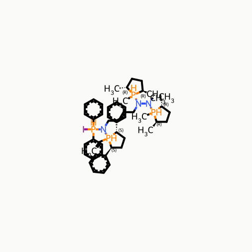 C=C[PH]1(N(CCCCN(N(C)[PH]2(C)[C@H](C)CC[C@H]2C)[PH]2(C)[C@H](C)CC[C@H]2C)[PH](I)(c2ccccc2)c2ccccc2)[C@H](c2ccccc2)CC[C@H]1c1ccccc1